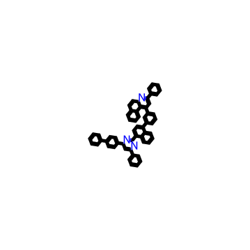 c1ccc(-c2ccc(-c3cc(-c4ccccc4)nc(-c4ccc(-c5cccc(-c6cc(-c7ccccc7)nc7ccc8ccccc8c67)c5)c5ccccc45)n3)cc2)cc1